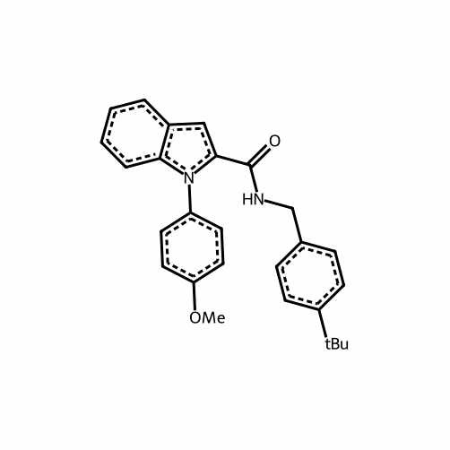 COc1ccc(-n2c(C(=O)NCc3ccc(C(C)(C)C)cc3)cc3ccccc32)cc1